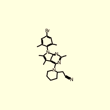 Cc1nc(N2CCCCC2CC#N)c2c(C)c(C)n(-c3c(C)cc(Br)cc3C)c2n1